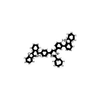 B1c2c(-c3cccc(-c4cc(-c5ccc(C6=c7ccccc7=C7Oc8ccccc8C7N6)cc5)nc(C5=CCC=CC=C5)n4)c3)cccc2C2C=CC=CC12